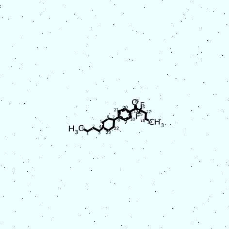 CCCCC1CCC(c2ccc(C(=O)C(F)(F)CCC)cc2)CC1